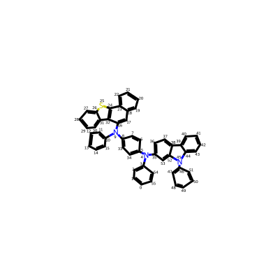 c1ccc(N(c2ccc(N(c3ccccc3)c3cc4ccccc4c4sc5ccccc5c34)cc2)c2ccc3c4ccccc4n(-c4ccccc4)c3c2)cc1